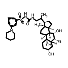 CC[C@H]1[C@@H](O)[C@@H]2[C@H](CC[C@]3(C)[C@@H]([C@H](C)CNC(=O)NS(=O)(=O)c4cccc(N5CCCCC5)c4)CC[C@@H]23)[C@@]2(C)CC[C@@H](O)C[C@@H]12